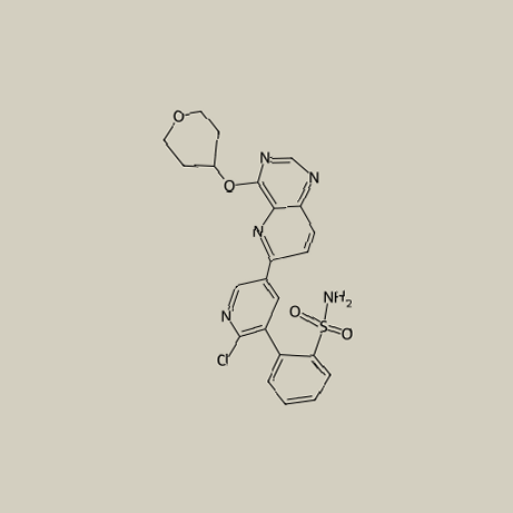 NS(=O)(=O)c1ccccc1-c1cc(-c2ccc3ncnc(OC4CCOCC4)c3n2)cnc1Cl